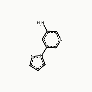 Nc1cncc(-n2cccn2)c1